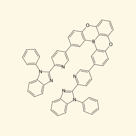 c1ccc(-n2c(-c3ccc(-c4ccc5c(c4)B4c6cc(-c7ccc(-c8nc9ccccc9n8-c8ccccc8)nc7)ccc6Oc6cccc(c64)O5)cn3)nc3ccccc32)cc1